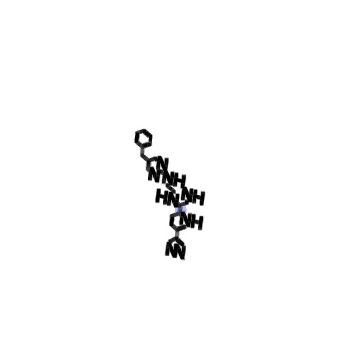 Cn1cc(C2=CN/C(=C(\C=N)NCCNc3ncc(Cc4ccccc4)cn3)C=C2)cn1